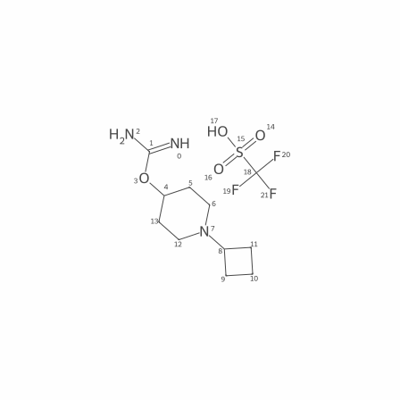 N=C(N)OC1CCN(C2CCC2)CC1.O=S(=O)(O)C(F)(F)F